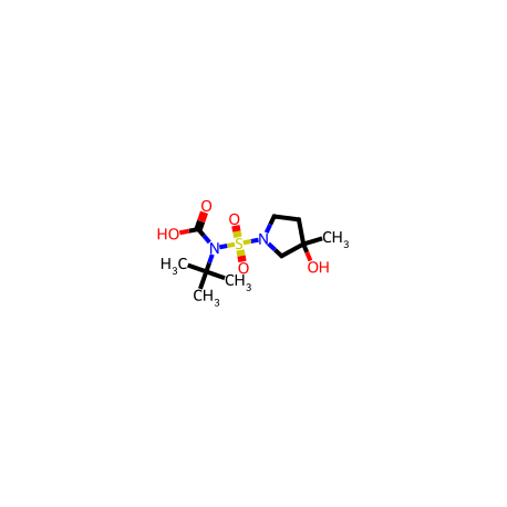 CC1(O)CCN(S(=O)(=O)N(C(=O)O)C(C)(C)C)C1